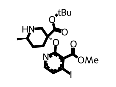 COC(=O)c1c(I)ccnc1O[C@]1(C(=O)OC(C)(C)C)CC[C@@H](C)NC1